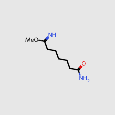 COC(=N)CCCCCC(N)=O